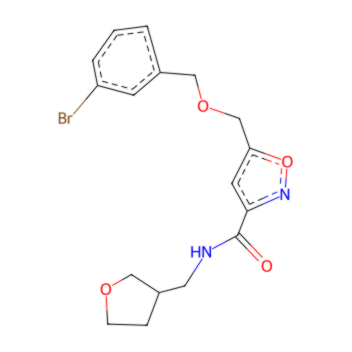 O=C(NCC1CCOC1)c1cc(COCc2cccc(Br)c2)on1